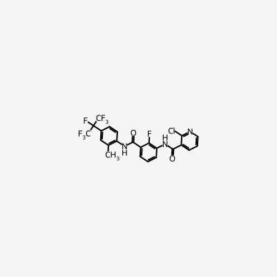 Cc1cc(C(F)(C(F)(F)F)C(F)(F)F)ccc1NC(=O)c1cccc(NC(=O)c2cccnc2Cl)c1F